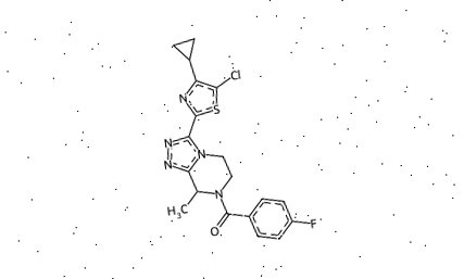 CC1c2nnc(-c3nc(C4CC4)c(Cl)s3)n2CCN1C(=O)c1ccc(F)cc1